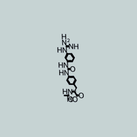 CC(=O)N[C@@H](Cc1ccc(NC(=O)Nc2cccc(NC(=N)N)c2)cc1)C(=O)O